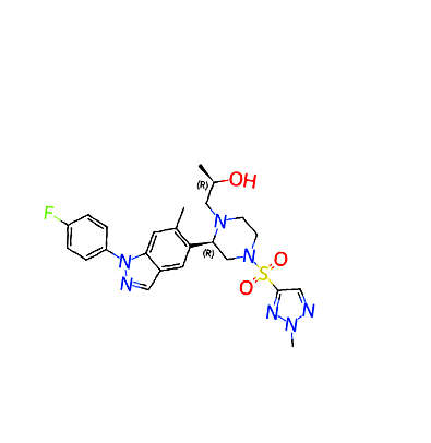 Cc1cc2c(cnn2-c2ccc(F)cc2)cc1[C@@H]1CN(S(=O)(=O)c2cnn(C)n2)CCN1C[C@@H](C)O